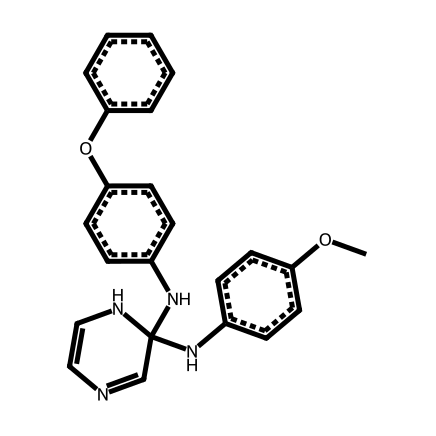 COc1ccc(NC2(Nc3ccc(Oc4ccccc4)cc3)C=NC=CN2)cc1